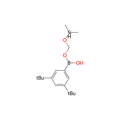 C[SiH](C)OCOB(O)c1cc(C(C)(C)C)cc(C(C)(C)C)c1